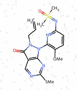 C=CCn1c(=O)c2cnc(SC)nc2n1-c1nc(N=S(C)(C)=O)ccc1OC